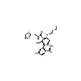 C=C(C)c1ccc(C)cc1-c1c(O)cc(CCCCC)c(C(=O)NCc2nnn[nH]2)c1O